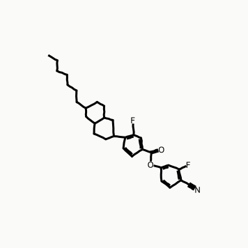 CCCCCCCC1CCC2CC(c3ccc(C(=O)Oc4ccc(C#N)c(F)c4)cc3F)CCC2C1